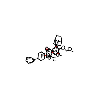 COCOc1c(C)cc(S(=O)(=O)N2CCC(c3ccccc3)CC2)cc1N1C2CCC1CN(C(=O)c1ccc(F)cc1Cl)C2